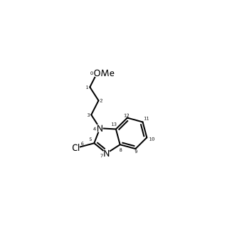 COCCCn1c(Cl)nc2ccccc21